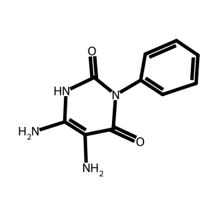 Nc1[nH]c(=O)n(-c2ccccc2)c(=O)c1N